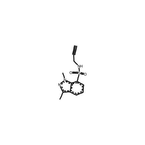 C#CCNS(=O)(=O)c1cccc2c(C)nn(C)c12